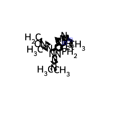 C=CC(=O)N1CCN(c2nc(N3CC(N(C)C)C3)nc3c(P)c(/C(CC)=c4/c(=C\C)cnn4C4CC4)c(C)cc23)C[C@H]1C